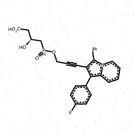 CC(C)c1c(C#CCO[PH](=O)C[C@@H](O)CC(=O)O)c(-c2ccc(F)cc2)c2ccccn12